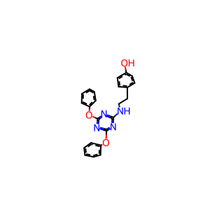 Oc1ccc(CCNc2nc(Oc3ccccc3)nc(Oc3ccccc3)n2)cc1